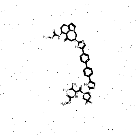 COC(=O)N[C@H]1CCc2ccn3c2C1C(=O)C[C@H](c1ncc(-c2ccc(-c4ccc(-c5cnc([C@@H]6CC(F)(F)CN6C(=O)[C@@H](NC(=O)OC)C(C)C)[nH]5)cc4)cc2)[nH]1)C3